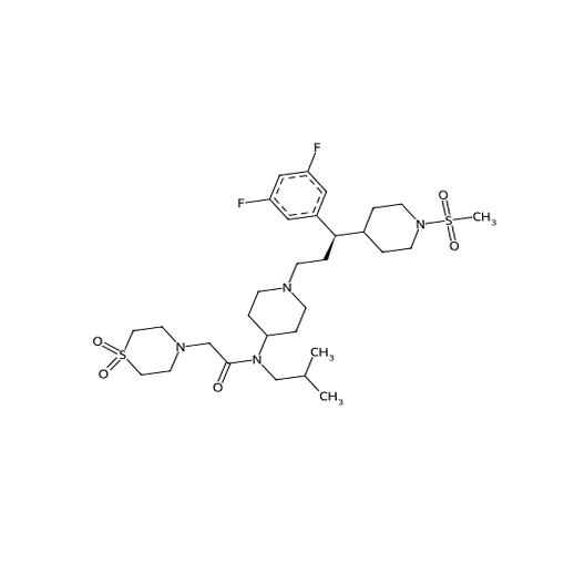 CC(C)CN(C(=O)CN1CCS(=O)(=O)CC1)C1CCN(CC[C@@H](c2cc(F)cc(F)c2)C2CCN(S(C)(=O)=O)CC2)CC1